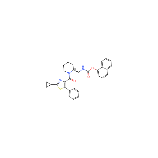 O=C(NC[C@@H]1CCCCN1C(=O)c1nc(C2CC2)sc1-c1ccccc1)Oc1cccc2ccccc12